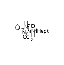 CCCCCCCNC(=O)C1(C(Cl)(Cl)Cl)N=C(C(Cl)(Cl)Cl)N=C(c2ccccc2)N1